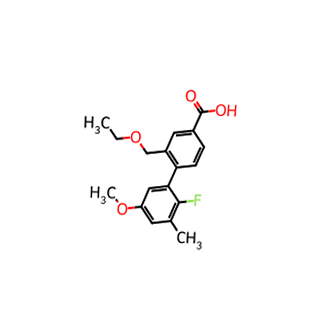 CCOCc1cc(C(=O)O)ccc1-c1cc(OC)cc(C)c1F